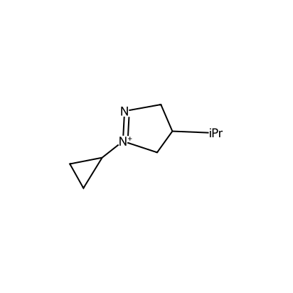 CC(C)C1CN=[N+](C2CC2)C1